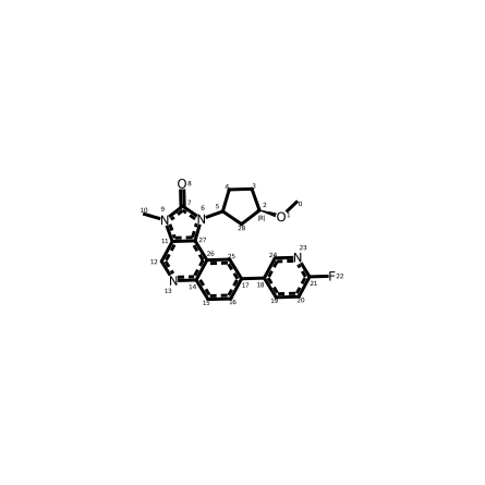 CO[C@@H]1CCC(n2c(=O)n(C)c3cnc4ccc(-c5ccc(F)nc5)cc4c32)C1